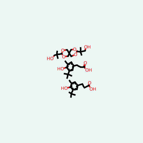 CC(C)(CO)C1OCC2(CO1)COC(C(C)(C)CO)OC2.Cc1cc(CCC(=O)O)cc(C(C)(C)C)c1O.Cc1cc(CCC(=O)O)cc(C(C)(C)C)c1O